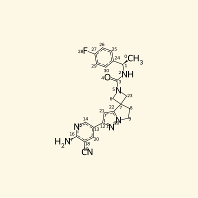 C[C@@H](NC(=O)N1CC2(CCn3nc(-c4cnc(N)c(C#N)c4)cc32)C1)c1ccc(F)cc1